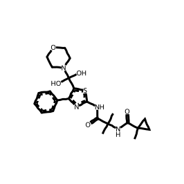 CC1(C(=O)NC(C)(C)C(=O)Nc2nc(-c3ccccc3)c(C(O)(O)N3CCOCC3)s2)CC1